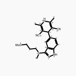 COCCCN(C)c1n[nH]c2ccc(C3C(C#N)=C(C)NC(C)=C3C#N)cc12